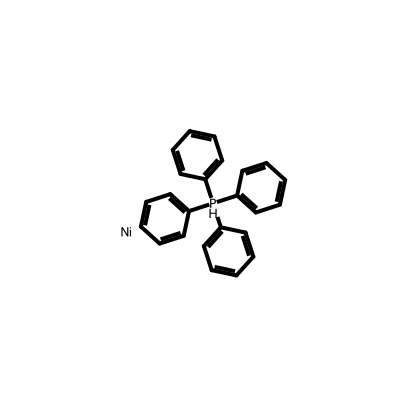 [Ni].c1ccc([PH](c2ccccc2)(c2ccccc2)c2ccccc2)cc1